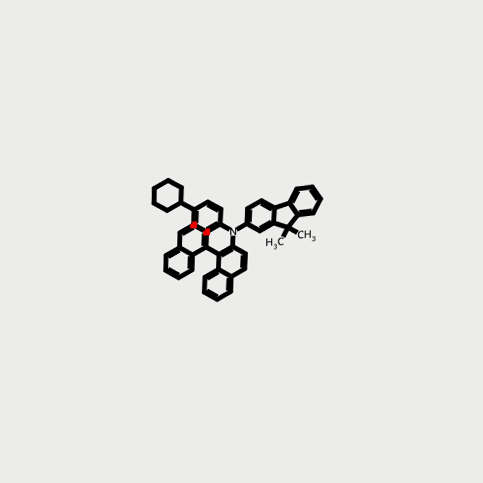 CC1(C)c2ccccc2-c2ccc(N(c3ccc(C4CCCCC4)cc3)c3ccc4ccccc4c3-c3cccc4ccccc34)cc21